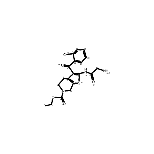 CCOC(=O)N1CCc2c(sc(NC(=O)CN)c2C(=O)c2ccccc2Cl)C1